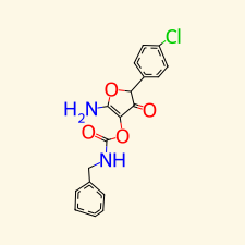 NC1=C(OC(=O)NCc2ccccc2)C(=O)C(c2ccc(Cl)cc2)O1